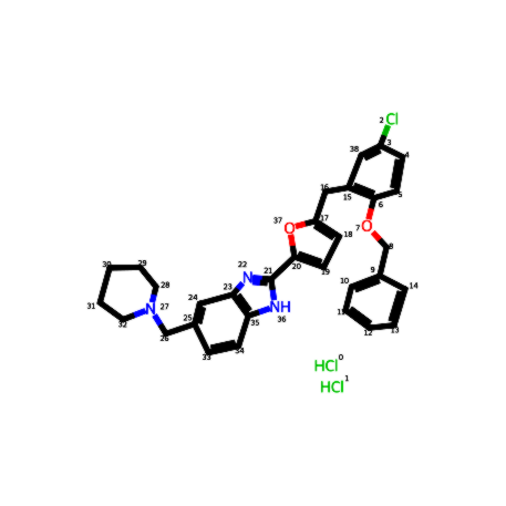 Cl.Cl.Clc1ccc(OCc2ccccc2)c(Cc2ccc(-c3nc4cc(CN5CCCCC5)ccc4[nH]3)o2)c1